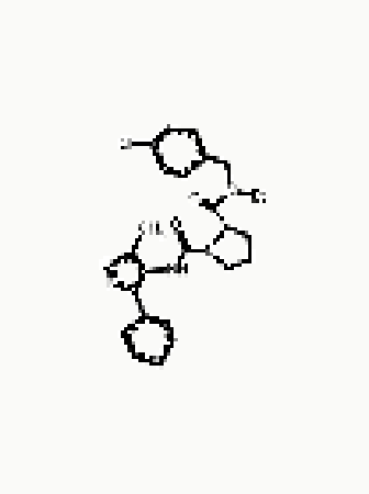 CCN(Cc1ccc(Cl)cc1)C(=O)[C@H]1CCCN1C(=O)Nc1c(-c2ccccc2)noc1C